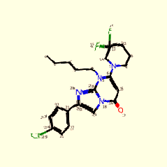 CCCCCn1c(N2CCCC(F)(F)C2)cc(=O)n2cc(-c3ccc(Cl)cc3)nc12